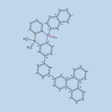 CC1(C)c2ccccc2P(=O)(c2ccc3ccccc3c2)c2ccc(-c3cccc(-c4ccc5c6ccccc6c6ccccc6c5c4)c3)cc21